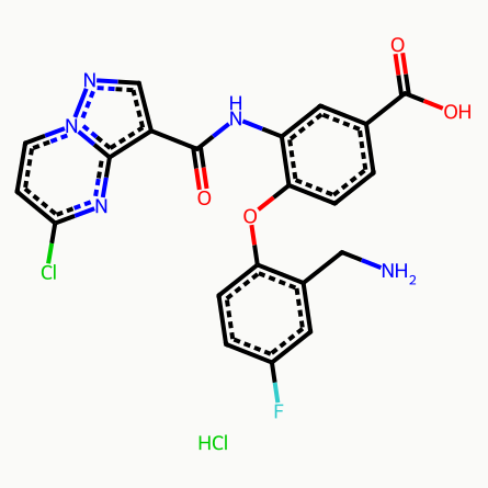 Cl.NCc1cc(F)ccc1Oc1ccc(C(=O)O)cc1NC(=O)c1cnn2ccc(Cl)nc12